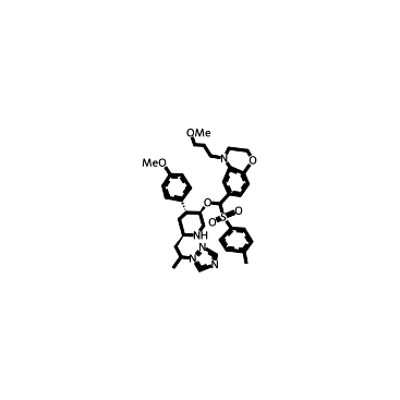 COCCCN1CCOc2ccc(C(O[C@H]3CN[C@@H](CC(C)n4cncn4)C[C@@H]3c3ccc(OC)cc3)S(=O)(=O)c3ccc(C)cc3)cc21